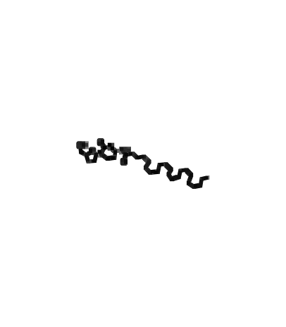 CC/C=C\C/C=C\C/C=C\C/C=C\C/C=C\C/C=C\CCC(=O)Nc1ccn([C@@H]2CC[C@@H](CO)O2)c(=O)n1